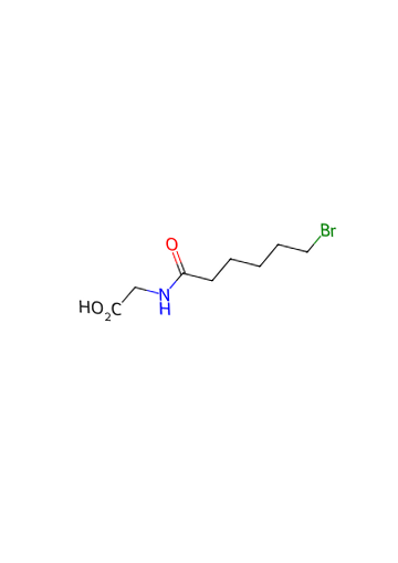 O=C(O)CNC(=O)CCCCCBr